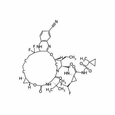 CC[C@@H]1[C@@H]2CN(C(=O)[C@H](C(C)(C)C)NC(=O)O[C@@H]3C[C@H]3CCCCC(F)(F)C3Nc4ccc(C#N)cc4N=C3O2)[C@@H]1C(=O)N[C@]1(C(=O)NS(=O)(=O)C2(C)CC2)C[C@H]1C(F)F